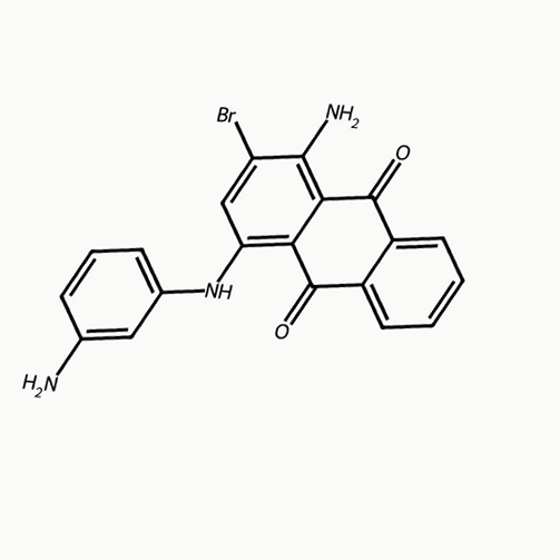 Nc1cccc(Nc2cc(Br)c(N)c3c2C(=O)c2ccccc2C3=O)c1